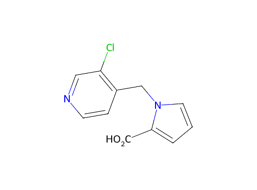 O=C(O)c1cccn1Cc1ccncc1Cl